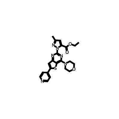 CCOC(=O)c1cc(C)nn1-c1nc(N2CCOCC2)c2sc(-c3ccncc3)cc2n1